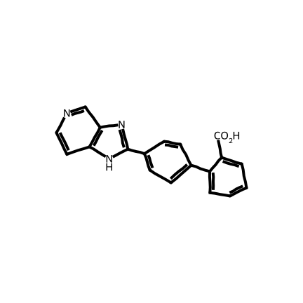 O=C(O)c1ccccc1-c1ccc(-c2nc3cnccc3[nH]2)cc1